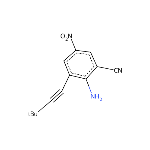 CC(C)(C)C#Cc1cc([N+](=O)[O-])cc(C#N)c1N